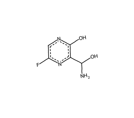 NC(O)c1nc(F)cnc1O